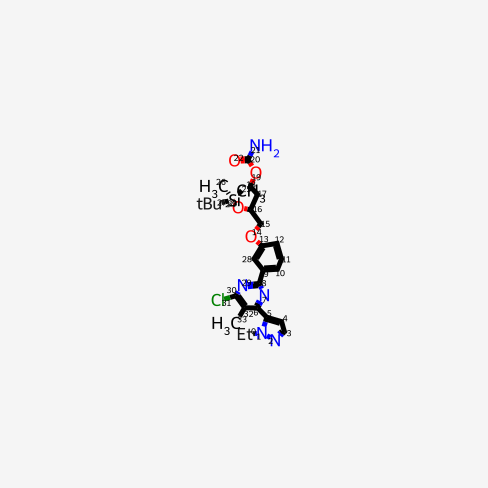 CCn1nccc1-c1nc(-c2cccc(OCC(CCOC(N)=O)O[Si](C)(C)C(C)(C)C)c2)nc(Cl)c1C